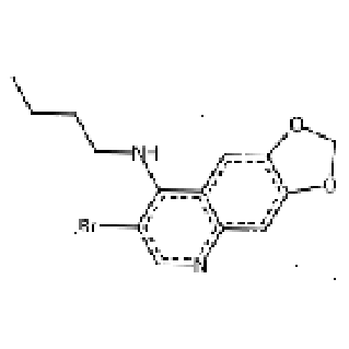 CCCCNc1c(Br)cnc2cc3c(cc12)OCO3